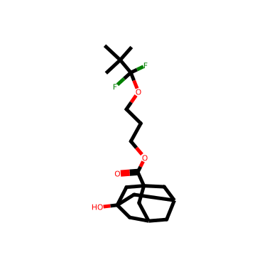 CC(C)(C)C(F)(F)OCCCOC(=O)C12CC3CC(CC(O)(C3)C1)C2